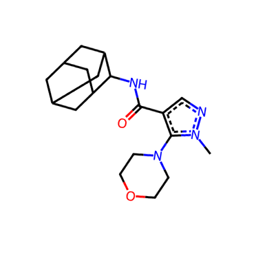 Cn1ncc(C(=O)NC2C3CC4CC(C3)CC2C4)c1N1CCOCC1